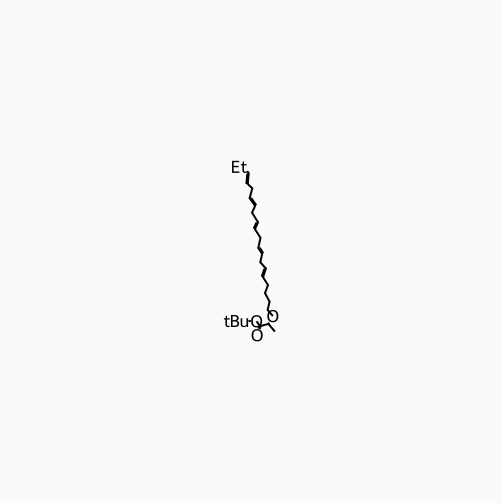 CCC=CCC=CCC=CCC=CCC=CCCCCOC(C)C(=O)OC(C)(C)C